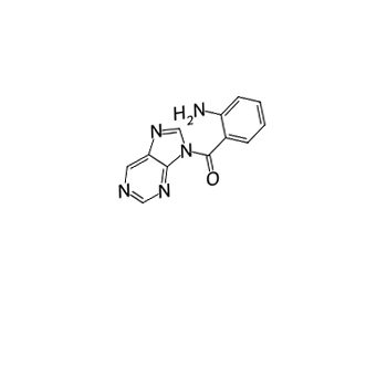 Nc1ccccc1C(=O)n1cnc2cncnc21